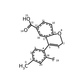 Cc1ccc(C2=CCOc3ccc(C(=O)O)cc32)c(F)c1